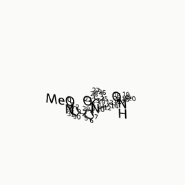 COc1cc(-c2cccc(N(CCCCCC(=O)NC3CC3)C(=O)C3CCCCC3)c2)ccn1